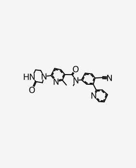 Cc1nc(N2CCNC(=O)C2)ccc1C(=O)N(C)c1ccc(C#N)c(-c2ccccn2)c1